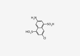 Nc1cc(S(=O)(=O)O)c2cc(Cl)cc(S(=O)(=O)O)c2c1